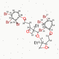 CCC1(COCC2(CC)COC2CCOc2ccc(Br)c(Br)c2Br)COC1CCOc1ccc(Br)c(Br)c1Br